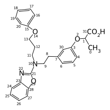 CC(Oc1cccc(CCN(CCCOc2ccccc2)c2nc3ccccc3o2)c1)C(=O)O